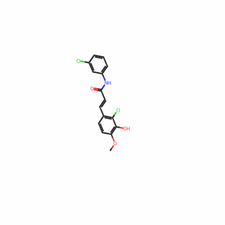 COc1ccc(/C=C/C(=O)Nc2cccc(Cl)c2)c(Cl)c1O